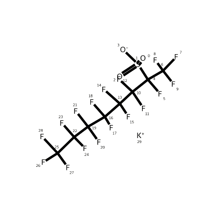 O=S(=O)([O-])C(F)(C(F)(F)F)C(F)(F)C(F)(F)C(F)(F)C(F)(F)C(F)(F)C(F)(F)F.[K+]